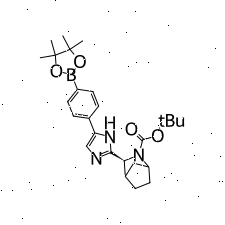 CC(C)(C)OC(=O)N1C2CCC(C2)[C@H]1c1ncc(-c2ccc(B3OC(C)(C)C(C)(C)O3)cc2)[nH]1